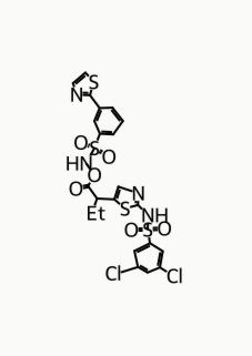 CCC(C(=O)ONS(=O)(=O)c1cccc(-c2nccs2)c1)c1cnc(NS(=O)(=O)c2cc(Cl)cc(Cl)c2)s1